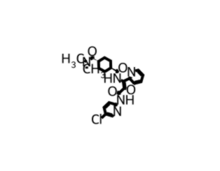 CN(C)C(=O)[C@H]1CC[C@H](C(=O)Nc2c(C(=O)Nc3ccc(Cl)cn3)oc3cccnc23)CC1